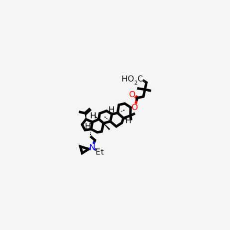 C=C(C)[C@@H]1CC[C@]2(CCN(CC)C3CC3)CC[C@]3(C)[C@H](CC[C@@H]4[C@@]5(C)CC[C@H](OC(=O)CC(C)(C)CC(=O)O)C(C)(C)[C@@H]5CC[C@]43C)[C@@H]12